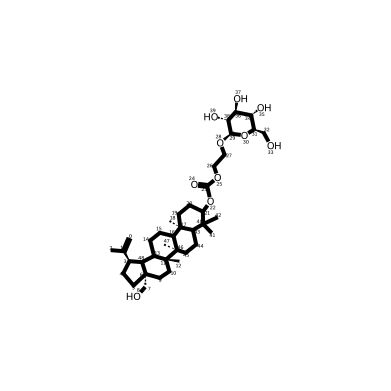 C=C(C)[C@@H]1CC[C@]2(CO)CC[C@]3(C)C(CCC4[C@@]5(C)CCC(OC(=O)OCCO[C@@H]6O[C@H](CO)[C@@H](O)[C@H](O)[C@H]6O)C(C)(C)C5CC[C@]43C)C12